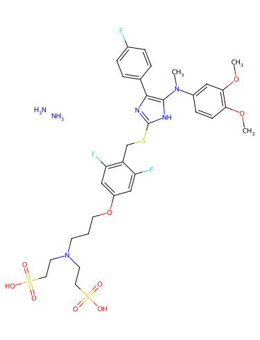 COc1ccc(N(C)c2[nH]c(SCc3c(F)cc(OCCCN(CCS(=O)(=O)O)CCS(=O)(=O)O)cc3F)nc2-c2ccc(F)cc2)cc1OC.N.N